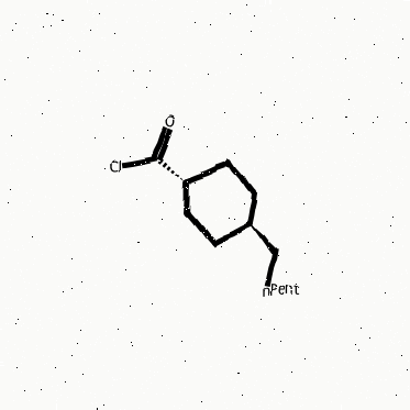 CCCCCC[C@H]1CC[C@H](C(=O)Cl)CC1